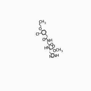 C=CCOc1ccc(CC(=O)NCC(=O)N[C@@H](Cc2c[nH]cn2)C(=O)OC)cc1Cl